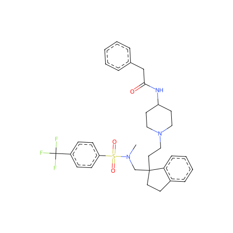 CN(CC1(CCN2CCC(NC(=O)Cc3ccccc3)CC2)CCc2ccccc21)S(=O)(=O)c1ccc(C(F)(F)F)cc1